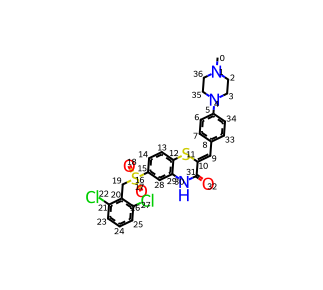 CN1CCN(c2ccc(/C=C3\Sc4ccc(S(=O)(=O)Cc5c(Cl)cccc5Cl)cc4NC3=O)cc2)CC1